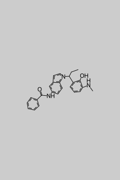 CCC(c1cccc(NC)c1O)n1ccc2cc(NC(=O)c3ccccc3)ccc21